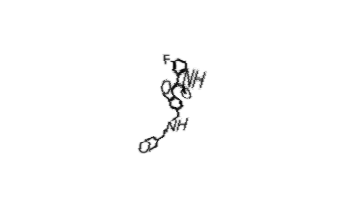 O=C1Nc2ccc(F)cc2C1=C1OCc2cc(CCNCCC3CCOCC3)ccc21